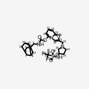 O=C(NCC12CC3CC(CC(C3)C1)C2)Oc1cccc2nc(CN3CCC(NS(=O)(=O)C(F)(F)F)C3)cn12